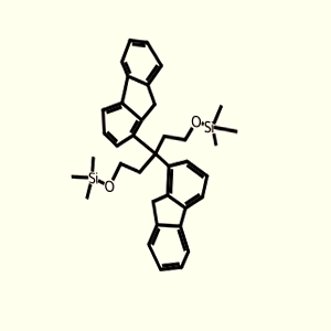 C[Si](C)(C)OCCC(CCO[Si](C)(C)C)(c1cccc2c1Cc1ccccc1-2)c1cccc2c1Cc1ccccc1-2